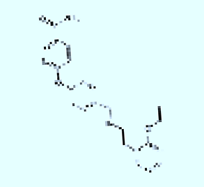 CCOc1ccccc1CCNCc1ccc(Oc2ccc(C(N)=O)cn2)cc1